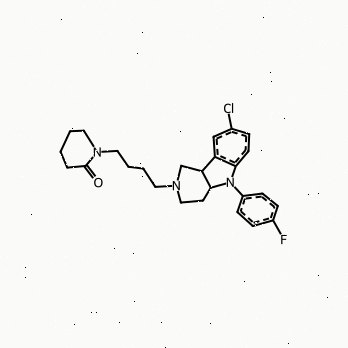 O=C1CCCCN1CCCCN1CCC2C(C1)c1cc(Cl)ccc1N2c1ccc(F)cc1